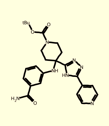 CC(C)(C)OC(=O)N1CCC(Nc2cccc(C(N)=O)c2)(c2nnc(-c3ccncc3)[nH]2)CC1